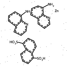 Nc1cccc2cccnc12.Nc1cccc2cccnc12.O=S(=O)(O)c1cccc2c(S(=O)(=O)O)cccc12.[Zn]